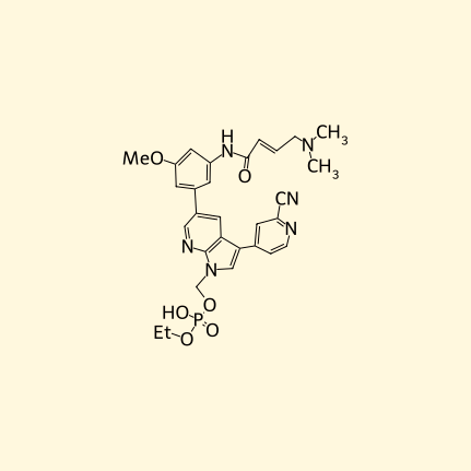 CCOP(=O)(O)OCn1cc(-c2ccnc(C#N)c2)c2cc(-c3cc(NC(=O)C=CCN(C)C)cc(OC)c3)cnc21